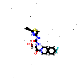 C#Cc1nc(NC(=O)N[C@@H](CO)C(=O)N2CCC3(CC2)CCC(F)(F)CC3)cs1